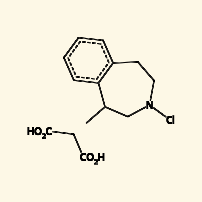 CC1CN(Cl)CCc2ccccc21.O=C(O)CC(=O)O